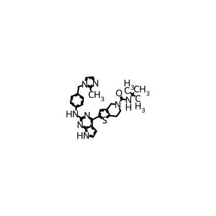 Cc1nccn1Cc1ccc(Nc2nc(-c3cc4c(s3)CCN(C(=O)NC(C)(C)C)C4)c3cc[nH]c3n2)cc1